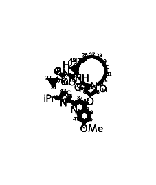 COc1ccc2c(O[C@@H]3C[C@H]4C(=O)N[C@]5(C(=O)NS(=O)(=O)C6CC6)C[C@H]5/C=C\CCCCCCC(=O)N4C3)cc(-c3nc(C(C)C)cs3)nc2c1